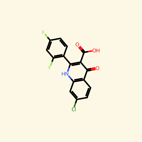 O=C(O)c1c(-c2ccc(F)cc2F)[nH]c2cc(Cl)ccc2c1=O